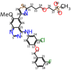 COc1cc2ncnc(Nc3ccc(OCc4cccc(F)c4)c(Cl)c3)c2cc1-c1csc(CCCOCCS(C)(=O)=O)n1